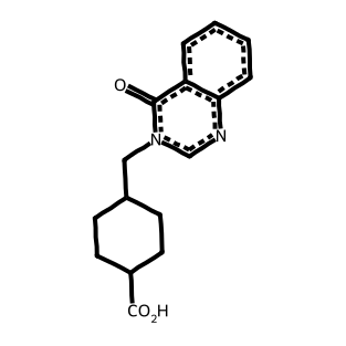 O=C(O)C1CCC(Cn2cnc3ccccc3c2=O)CC1